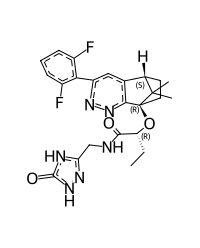 CC[C@@H](O[C@@]12CC[C@@H](c3cc(-c4c(F)cccc4F)nnc31)C2(C)C)C(=O)NCc1n[nH]c(=O)[nH]1